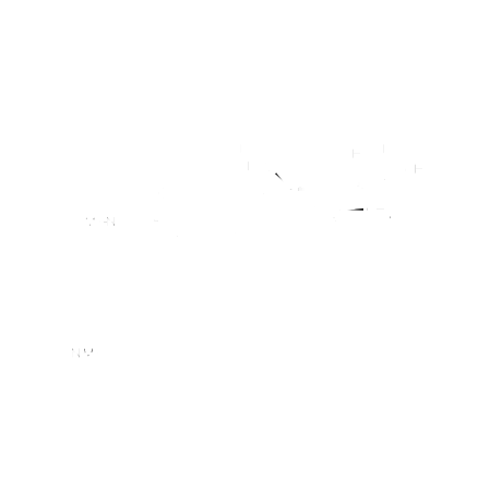 CNCCCCC(NC)C(=O)Oc1cc(C)c2c(c1)C[C@@H]1[C@@]3(C)CCCC(C)(C)[C@@H]3CC[C@@]21C